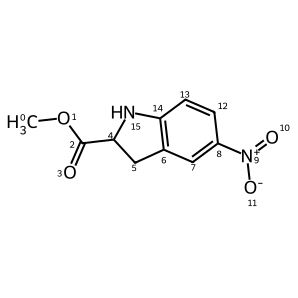 COC(=O)C1Cc2cc([N+](=O)[O-])ccc2N1